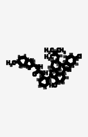 Cc1ccc2nc(NC(=O)Nc3ccccc3N3CC4(CCN(CC(C)(C)C)CC4)c4c(-c5nc6cc(Cl)ccc6s5)ccc(O)c43)sc2c1